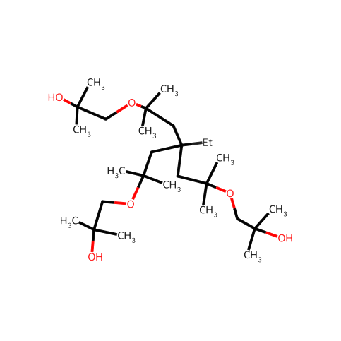 CCC(CC(C)(C)OCC(C)(C)O)(CC(C)(C)OCC(C)(C)O)CC(C)(C)OCC(C)(C)O